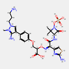 C[n+]1c(N)c(-c2ccc(OCC(O/N=C(\C(=O)N[C@@H]3C(=O)N(OS(=O)(=O)[O-])C3(C)C)c3csc(N)n3)C(=O)O)cc2)cn1CCCN